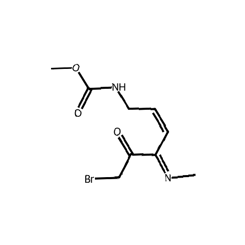 C/N=C(\C=C/CNC(=O)OC)C(=O)CBr